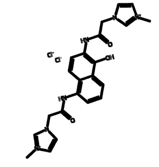 C[n+]1ccn(CC(=O)Nc2ccc3c(NC(=O)Cn4cc[n+](C)c4)cccc3c2O)c1.[Cl-].[Cl-]